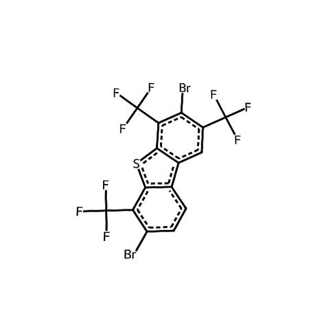 FC(F)(F)c1cc2c(sc3c(C(F)(F)F)c(Br)ccc32)c(C(F)(F)F)c1Br